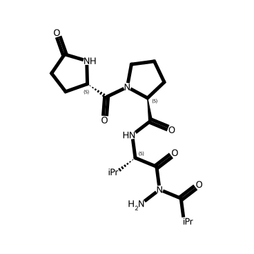 CC(C)C(=O)N(N)C(=O)[C@@H](NC(=O)[C@@H]1CCCN1C(=O)[C@@H]1CCC(=O)N1)C(C)C